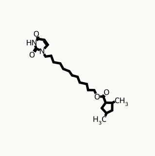 CC1CC(C)C(C(=O)OCCCCCCCCCCCCn2ccc(=O)[nH]c2=O)C1